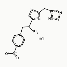 Cl.NC(Cc1ccc([N+](=O)[O-])cc1)c1csc(Cc2cnc[nH]2)n1